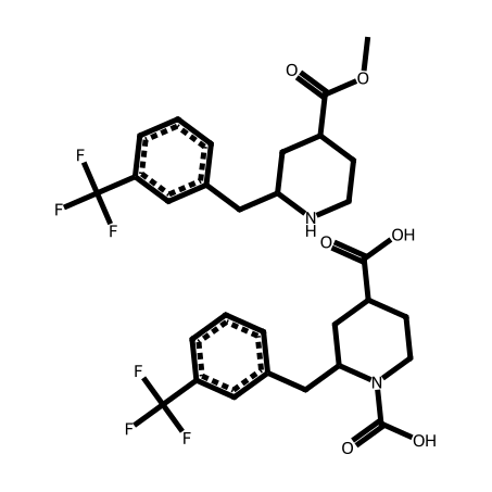 COC(=O)C1CCNC(Cc2cccc(C(F)(F)F)c2)C1.O=C(O)C1CCN(C(=O)O)C(Cc2cccc(C(F)(F)F)c2)C1